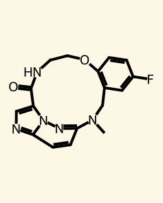 CN1Cc2cc(F)ccc2OCCNC(=O)c2cnc3ccc1nn23